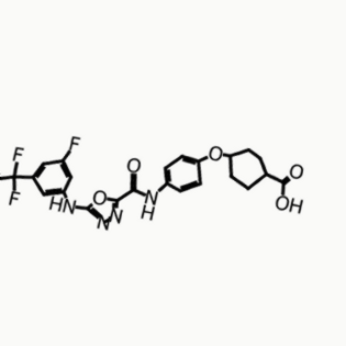 O=C(Nc1ccc(OC2CCC(C(=O)O)CC2)cc1)c1nnc(Nc2cc(F)cc(C(F)(F)F)c2)o1